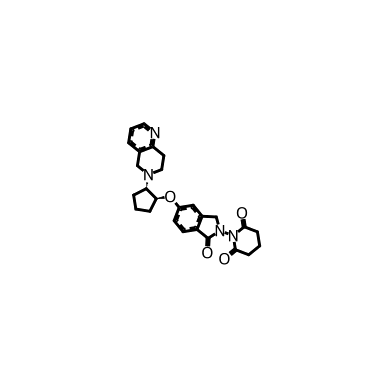 O=C1c2ccc(O[C@H]3CCC[C@@H]3N3CCc4ncccc4C3)cc2CN1N1C(=O)CCCC1=O